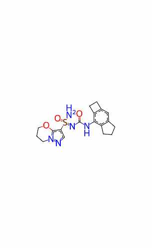 NS(=O)(=NC(=O)Nc1c2c(cc3c1CC3)CCC2)c1cnn2c1OCCC2